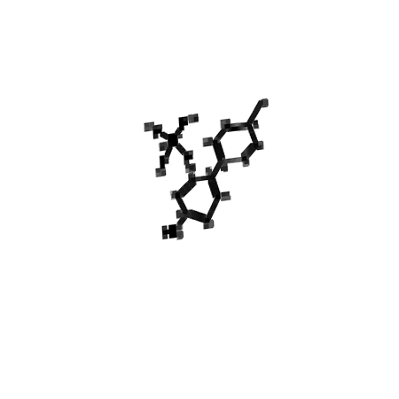 Cc1ccc(-c2ccc([IH+])cc2)cc1.F[B-](F)(F)F